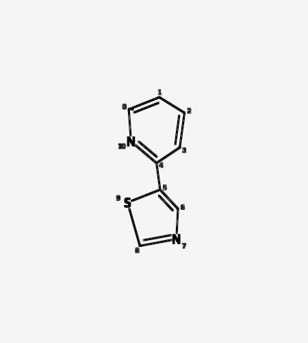 [c]1cccc(-c2cncs2)n1